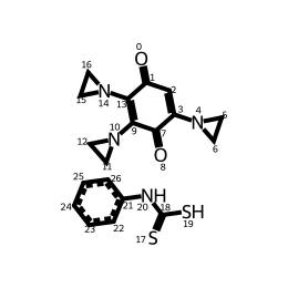 O=C1C=C(N2CC2)C(=O)C(N2CC2)=C1N1CC1.S=C(S)Nc1ccccc1